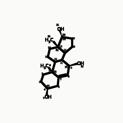 C[C@]12CC[C@H](O)CC1=C[C@H](O)C1C2CC[C@@]2(C)C1CC[C@H]2O